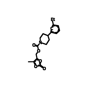 CCc1cccc(C2CCN(C(=O)OCc3oc(=O)oc3C)CC2)c1